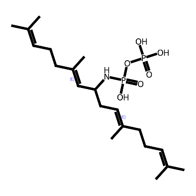 CC(C)=CCC/C(C)=C/CC(/C=C(\C)CCC=C(C)C)NP(=O)(O)OP(=O)(O)O